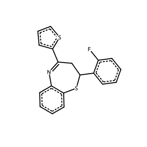 Fc1ccccc1C1CC(c2cccs2)=Nc2ccccc2S1